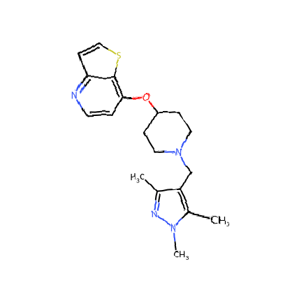 Cc1nn(C)c(C)c1CN1CCC(Oc2ccnc3ccsc23)CC1